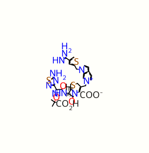 CC(C)(O/N=C(\C(=O)N[C@@H]1C(=O)N2C(C(=O)[O-])=C(C[n+]3ccc4ccn(Cc5cc(C(=N)N)cs5)c4c3)CS[C@H]12)c1nsc(N)n1)C(=O)O